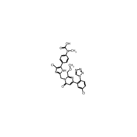 COCc1nc(-c2cc(Cl)ccc2-n2cnnn2)cc(=O)n1Cc1nc(Cl)c(-c2ccc(N(C)C(=O)O)cc2)[nH]1